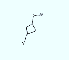 CCOC1CC(N)C1